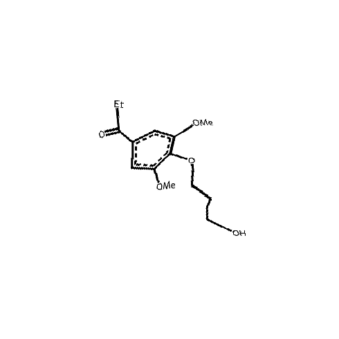 CCC(=O)c1cc(OC)c(OCCCO)c(OC)c1